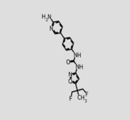 CC(CF)(CF)c1cc(NC(=O)Nc2ccc(-c3ccc(N)nc3)cc2)no1